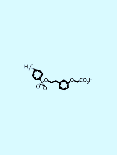 Cc1ccc(S(=O)(=O)OCCc2cccc(OCC(=O)O)c2)cc1